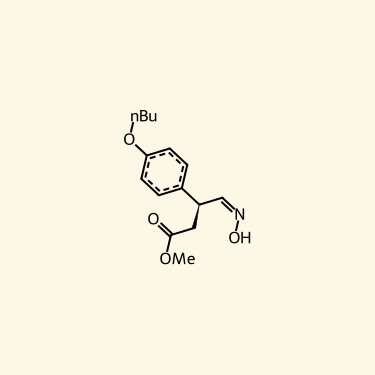 CCCCOc1ccc([C@@H](/C=N\O)CC(=O)OC)cc1